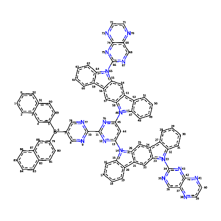 c1ccc2cc(B(c3cnc(-c4nc(-n5c6ccccc6c6cc7c(cc65)c5ccccc5n7-c5ncc6nccnc6n5)cc(-n5c6ccccc6c6cc7c(cc65)c5ccccc5n7-c5ncc6nccnc6n5)n4)nc3)c3ccc4ccccc4c3)ccc2c1